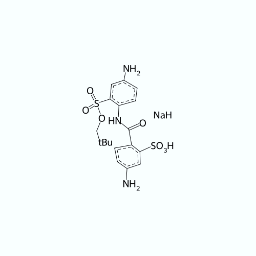 CC(C)(C)COS(=O)(=O)c1cc(N)ccc1NC(=O)c1ccc(N)cc1S(=O)(=O)O.[NaH]